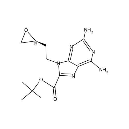 CC(C)(C)OC(=O)c1nc2c(N)nc(N)nc2n1CC[C@H]1CO1